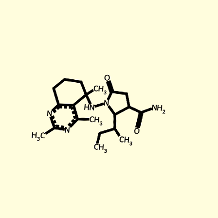 CCC(C)C1C(C(N)=O)CC(=O)N1NC1(C)CCCc2nc(C)nc(C)c21